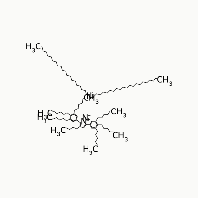 CCCCCCCCCCCCCCCCCCCC[CH2][Ni][CH2]CCCCCCCCCCCCCCCCCCCC.CCCCCCc1cc(C2=CC(CCCCC)=C(c3cc(CCCCCC)c(CCCCCC)c(CCCCCC)c3)[N+]2=[N-])cc(CCCCCC)c1CCCCCC